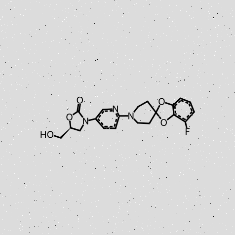 O=C1O[C@H](CO)CN1c1ccc(N2CCC3(CC2)Oc2cccc(F)c2O3)nc1